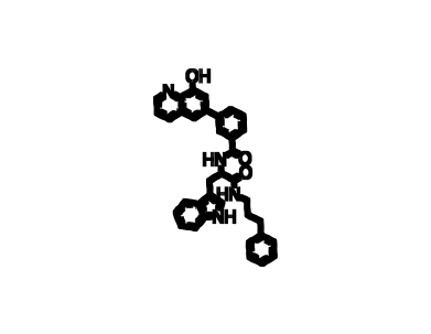 O=C(NC(Cc1c[nH]c2ccccc12)C(=O)NCCCc1ccccc1)c1cccc(-c2cc(O)c3ncccc3c2)c1